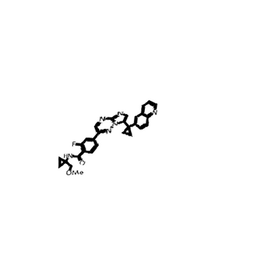 COCC1(NC(=O)c2ccc(-c3cnc4ncc(C5(c6ccc7ncccc7c6)CC5)n4n3)cc2F)CC1